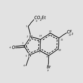 CCOC(=O)Cn1c(=O)n(C)c2c(Br)cc(C(F)(F)F)cc21